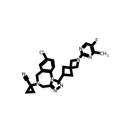 Cc1nc(N2CC3(CC(c4nnc5n4-c4ccc(Cl)cc4CN(C4(C#N)CC4)C5)C3)C2)ncc1F